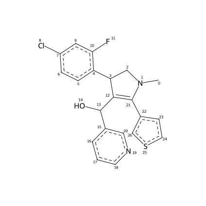 CN1CC(c2ccc(Cl)cc2F)C(C(O)c2cccnc2)=C1c1ccsc1